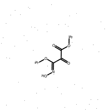 CC(C)OC(=O)C(=O)C(=NO)OC(C)C